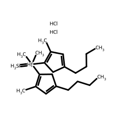 CCCCC1=CC(C)=[C]([Hf]([CH3])([CH3])(=[SiH2])[C]2=C(C)C=C(CCCC)C2)C1.Cl.Cl